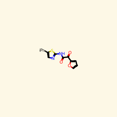 CC(C)c1cnc(NC(=O)C(=O)c2ccco2)s1